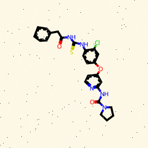 O=C(Cc1ccccc1)NC(=S)Nc1ccc(Oc2ccnc(NC(=O)N3CCCC3)c2)cc1Cl